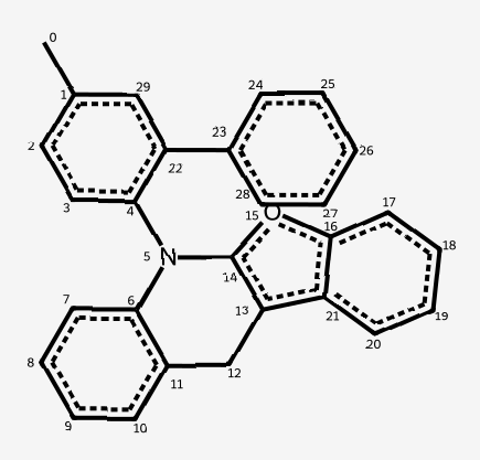 Cc1ccc(N2c3ccccc3Cc3c2oc2ccccc32)c(-c2ccccc2)c1